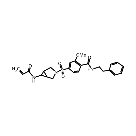 C=CC(=O)NC1C2CN(S(=O)(=O)c3ccc(C(=O)NCCc4ccccc4)c(OC)c3)CC21